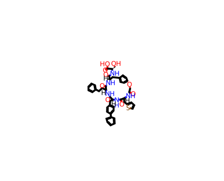 O=C1COc2ccc(cc2)C[C@@H](C(=O)N[C@@H](CO)C(=O)O)NC(=O)[C@H](CCc2ccccc2)NC(=O)[C@@H](Cc2ccc(-c3ccccc3)cc2)NC(=O)[C@H](Cc2cccs2)N1